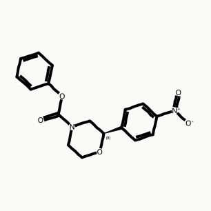 O=C(Oc1ccccc1)N1CCO[C@H](c2ccc([N+](=O)[O-])cc2)C1